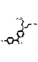 COCCN(CCOC)c1ccc(C(=N)c2ccc(C#N)cc2)cc1